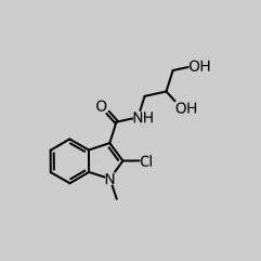 Cn1c(Cl)c(C(=O)NCC(O)CO)c2ccccc21